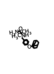 CC(C)(NCc1ccc(OC2C3CC4CC(C3)CC2C4)cc1)C(N)=O